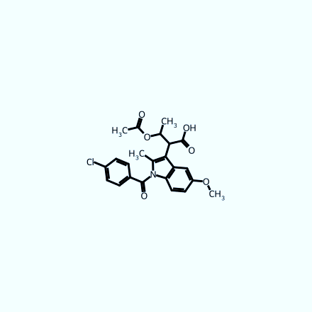 COc1ccc2c(c1)c(C(C(=O)O)C(C)OC(C)=O)c(C)n2C(=O)c1ccc(Cl)cc1